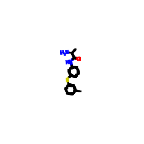 Cc1cccc(Sc2cccc(NC(=O)C(C)N)c2)c1